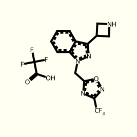 FC(F)(F)c1noc(Cn2nc(C3CNC3)c3ccccc32)n1.O=C(O)C(F)(F)F